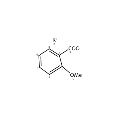 COc1ccccc1C(=O)[O-].[K+]